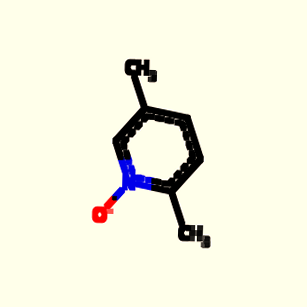 Cc1ccc(C)[n+]([O-])c1